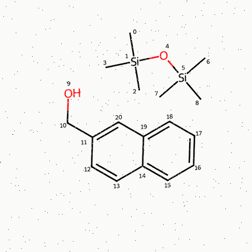 C[Si](C)(C)O[Si](C)(C)C.OCc1ccc2ccccc2c1